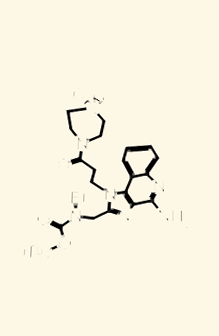 CCN(Cc1nc2c(N)nc3ccccc3c2n1CCC(=O)N1CCS(=O)(=O)CC1)C(=O)OC(C)(C)C